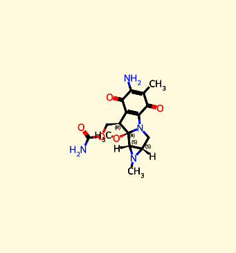 CO[C@]12[C@@H]3[C@H](CN1C1=C(C(=O)C(N)=C(C)C1=O)[C@@H]2COC(N)=O)N3C